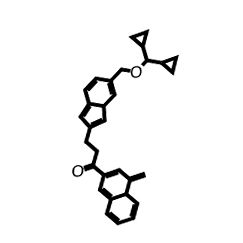 C=C1C=C(C(=O)CCC2=CC3C=C(COC(C4CC4)C4CC4)C=CC3=C2)C=C2C=CC=CC12